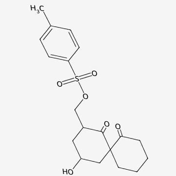 Cc1ccc(S(=O)(=O)OCC2CC(O)CC3(CCCCC3=O)C2=O)cc1